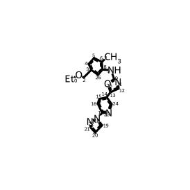 CCOCc1ccc(C)c(Nc2ncc(-c3ccc(-n4cccn4)nc3)o2)c1